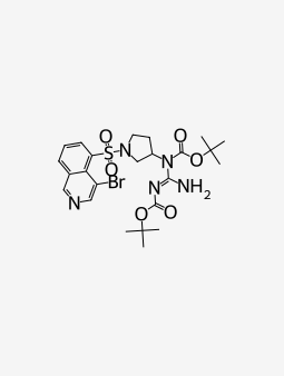 CC(C)(C)OC(=O)N=C(N)N(C(=O)OC(C)(C)C)C1CCN(S(=O)(=O)c2cccc3cncc(Br)c23)C1